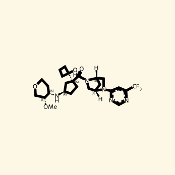 CO[C@@H]1COCC[C@@H]1N[C@@H]1CC[C@@](C(=O)N2C[C@@H]3C[C@H]2CN3c2cc(C(F)(F)F)ncn2)(C2(O)CCC2)C1